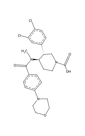 CN(C(=O)c1ccc(N2CCOCC2)cc1)[C@@H]1CCN(C(=O)O)C[C@H]1c1ccc(Cl)c(Cl)c1